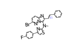 CN(c1nc(-c2ccc(F)cc2)cs1)c1c(/C=C/c2ccccc2)nc2ccc(Br)nn12